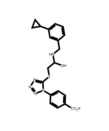 O=C(O)c1ccc(-n2nnnc2SCC(O)NCc2cccc(C3CC3)c2)cc1